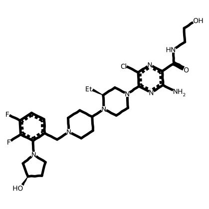 CC[C@H]1CN(c2nc(N)c(C(=O)NCCO)nc2Cl)CCN1C1CCN(Cc2ccc(F)c(F)c2N2CC[C@@H](O)C2)CC1